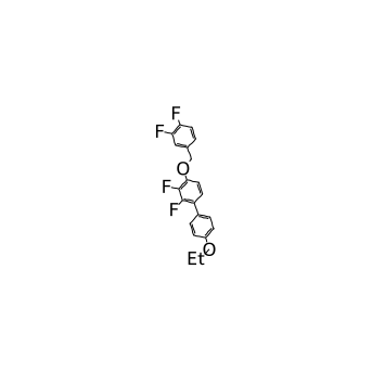 CCOc1ccc(-c2ccc(OCc3ccc(F)c(F)c3)c(F)c2F)cc1